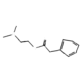 CN(C)CCNC(=O)Cc1ccccc1